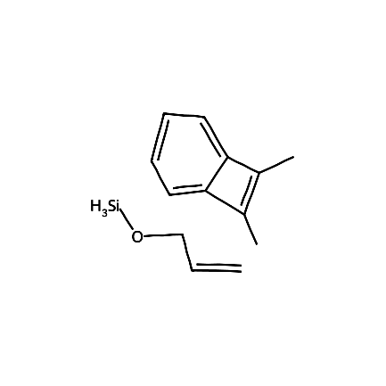 C=CCO[SiH3].CC1=C(C)c2ccccc21